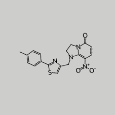 Cc1ccc(-c2nc(CN3CCn4c3c([N+](=O)[O-])ccc4=O)cs2)cc1